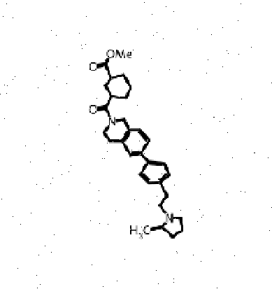 COC(=O)C1CCCC(C(=O)N2CCc3cc(-c4ccc(CCN5CCCC5C)cc4)ccc3C2)C1